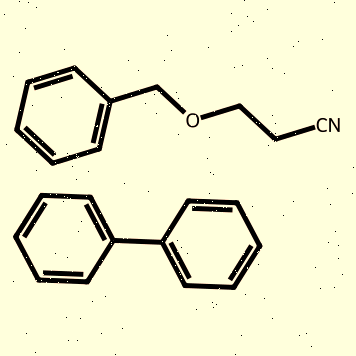 N#CCCOCc1ccccc1.c1ccc(-c2ccccc2)cc1